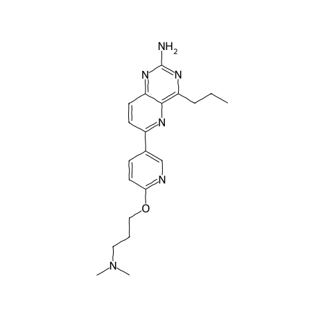 CCCc1nc(N)nc2ccc(-c3ccc(OCCCN(C)C)nc3)nc12